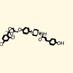 C[C@]1(c2ccc(Cl)cc2Cl)OC[C@@H](COc2ccc(N3CCN(NC(=O)C=Cc4ccc(O)cc4)CC3)cc2)O1